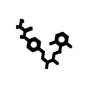 CCNC(=O)Nc1ccc(CCN(C)C(C)COc2c(C)cccc2C)cc1